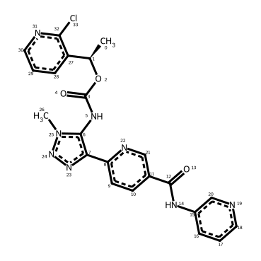 C[C@@H](OC(=O)Nc1c(-c2ccc(C(=O)Nc3cccnc3)cn2)nnn1C)c1cccnc1Cl